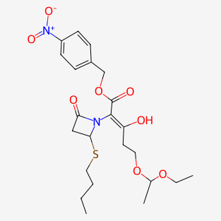 CCCCSC1CC(=O)N1C(C(=O)OCc1ccc([N+](=O)[O-])cc1)=C(O)CCOC(C)OCC